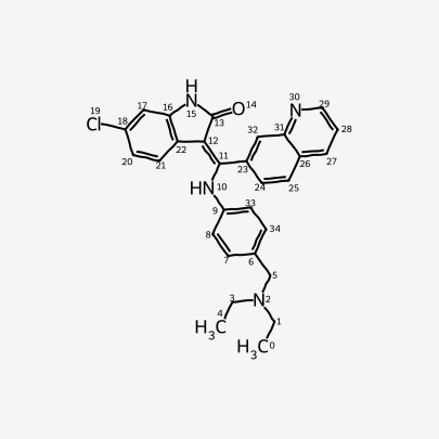 CCN(CC)Cc1ccc(NC(=C2C(=O)Nc3cc(Cl)ccc32)c2ccc3cccnc3c2)cc1